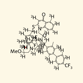 [2H]c1c([2H])c(F)c(F)c(C([2H])([2H])Sc2c([2H])c(=O)c3c([2H])c([2H])c([2H])c([2H])c3n2CC(=O)N(C([2H])([2H])c2c([2H])c([2H])c(-c3c([2H])c([2H])c(C(F)(F)F)c([2H])c3[2H])c([2H])c2C)C2([2H])C([2H])([2H])C([2H])([2H])N(CC([2H])([2H])OC)C([2H])([2H])C2([2H])[2H])c1[2H]